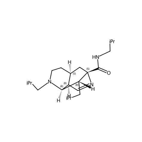 CC(C)CNC(=O)[C@@]12C[C@@H]3CCN(CC(C)C)[C@@H]([C@@H]3C=N1)[C@H]2CC(C)C